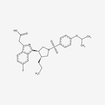 CCC[C@@H]1CN(S(=O)(=O)c2ccc(OC(C)C)cc2)C[C@@H]1n1nc(CC(=O)O)c2ccc(F)cc21